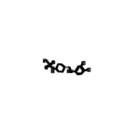 CC(C)S(=O)(=O)N[C@H]1CC[C@H](CNc2ccc(Cl)c(Cl)c2)CC1